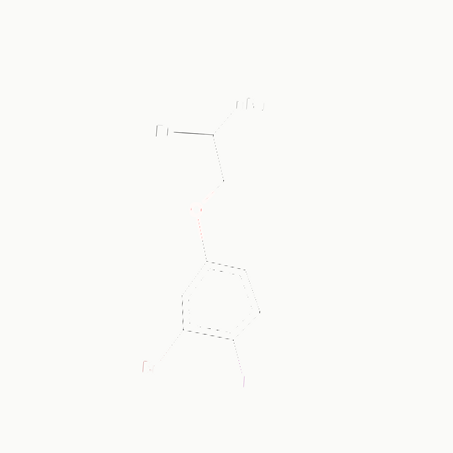 CCCCC(CC)COc1ccc(I)c(Br)c1